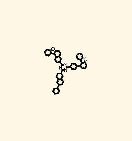 C1=c2ccc(-c3ccccc3)cc2=CCC1c1nc(-c2ccc(-c3cccc4oc5ccccc5c34)cc2)nc(-c2ccc3c(ccc4oc5ccccc5c43)c2)n1